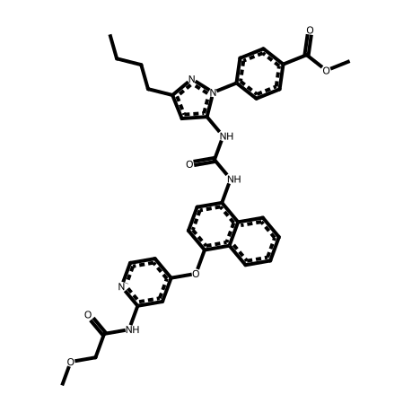 CCCCc1cc(NC(=O)Nc2ccc(Oc3ccnc(NC(=O)COC)c3)c3ccccc23)n(-c2ccc(C(=O)OC)cc2)n1